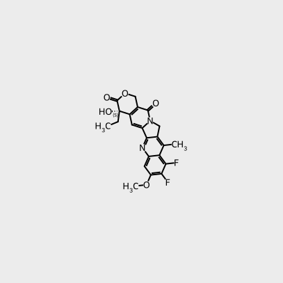 CC[C@@]1(O)C(=O)OCc2c1cc1n(c2=O)Cc2c-1nc1cc(OC)c(F)c(F)c1c2C